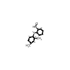 Cc1ccc(Sc2ccccc2NCl)c(C)c1